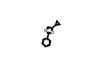 c1ccc(-c2ncc(C3CC3)o2)cc1